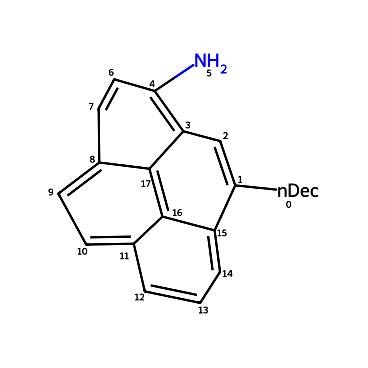 CCCCCCCCCCc1cc2c(N)ccc3ccc4cccc1c4c32